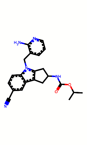 CC(C)OC(=O)NC1Cc2c(n(Cc3cccnc3N)c3ccc(C#N)cc23)C1